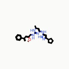 C=C(/C=C(/CNC1=NC(Nc2cc(C3CCCC3)n[nH]2)=CC(C)N1)OC)c1ccccc1